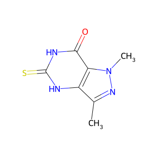 Cc1nn(C)c2c(=O)[nH]c(=S)[nH]c12